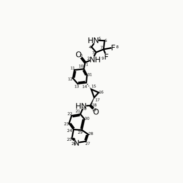 O=C(NC1CNCC1(F)F)c1cccc([C@@H]2C[C@H]2C(=O)Nc2ccc3cnccc3c2)c1